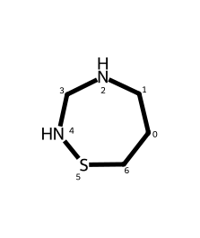 C1CNCNSC1